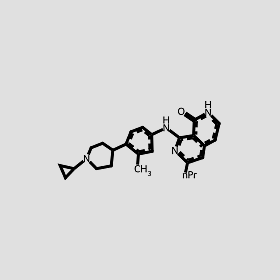 CCCc1cc2cc[nH]c(=O)c2c(Nc2ccc(C3CCN(C4CC4)CC3)c(C)c2)n1